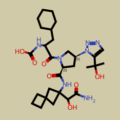 CC(C)(O)c1cnnn1[C@H]1C[C@@H](C(=O)NC2(C(O)C(N)=O)CC3(CCC3)C2)N(C(=O)C(CC2CCCCC2)NC(=O)O)C1